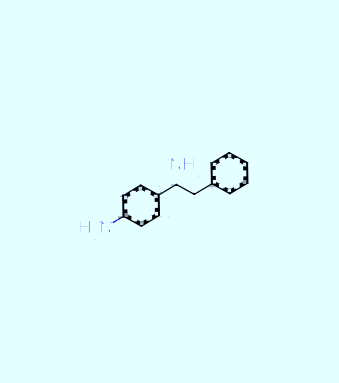 Nc1ccc([C@H](N)Cc2ccccc2)cc1